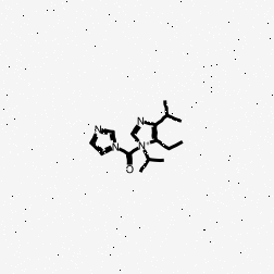 CCC1=C(C(C)C)N=C[N+]1(C(=O)n1ccnc1)C(C)C